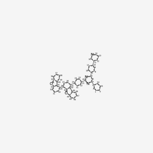 c1ccc(-c2cc(-c3ccc(-c4cccnc4)cc3)nc(-c3ccc(-c4ccc(-c5cccc6oc7ccccc7c56)c5oc6ccccc6c45)cc3)n2)cc1